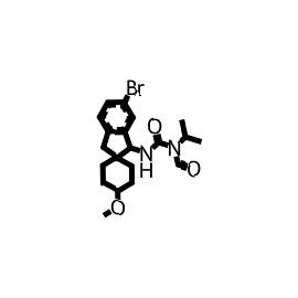 COC1CCC2(CC1)Cc1ccc(Br)cc1C2NC(=O)N(C=O)C(C)C